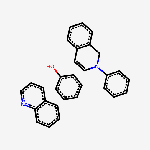 C1=CN(c2ccccc2)Cc2ccccc21.Oc1ccccc1.c1ccc2ncccc2c1